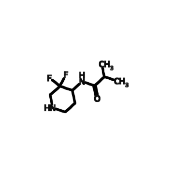 CC(C)C(=O)NC1CCNCC1(F)F